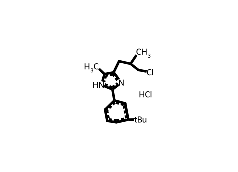 Cc1[nH]c(-c2cccc(C(C)(C)C)c2)nc1CC(C)CCl.Cl